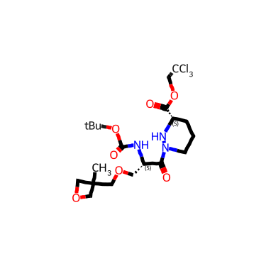 CC1(COC[C@H](NC(=O)OC(C)(C)C)C(=O)N2CCC[C@@H](C(=O)OCC(Cl)(Cl)Cl)N2)COC1